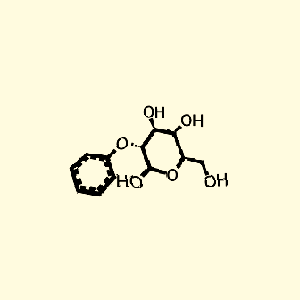 OC[C@H]1OC(O)[C@H](Oc2ccccc2)[C@@H](O)[C@H]1O